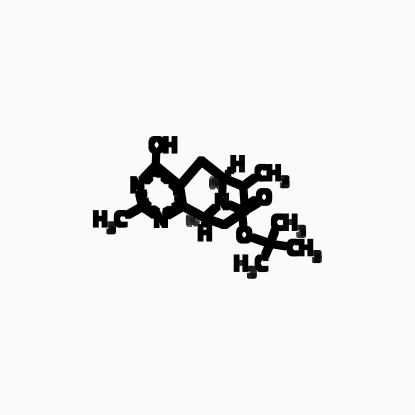 Cc1nc(O)c2c(n1)[C@@H]1CCC(C)[C@H](C2)N1C(=O)OC(C)(C)C